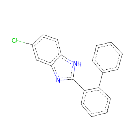 Clc1ccc2[nH]c(-c3ccccc3-c3ccccc3)nc2c1